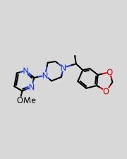 COc1ccnc(N2CCN(C(C)c3ccc4c(c3)OCO4)CC2)n1